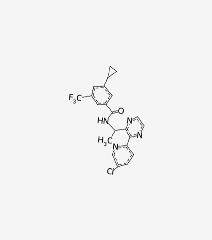 CC(NC(=O)c1cc(C2CC2)cc(C(F)(F)F)c1)c1nccnc1-c1ccc(Cl)cn1